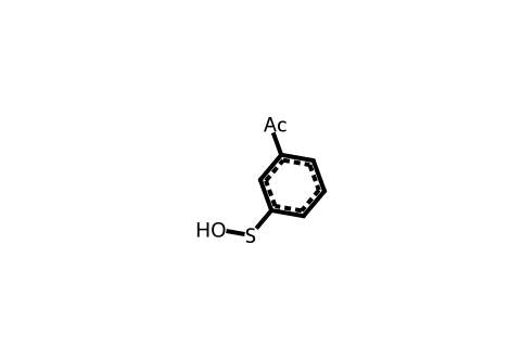 CC(=O)c1cccc(SO)c1